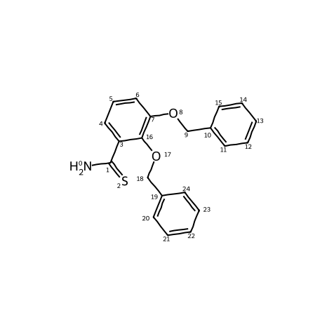 NC(=S)c1cccc(OCc2ccccc2)c1OCc1ccccc1